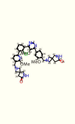 COc1cc(-c2ncnc(-c3cccc(-c4ccc(CN5CC6(CNC(=O)C6)C5)c(OC)n4)c3Cl)c2OC)ccc1CN1CC2(CNC(=O)C2)C1